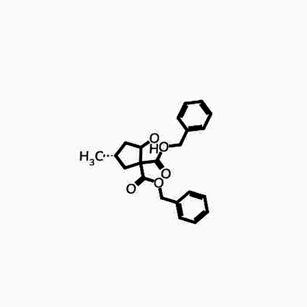 C[C@@H]1CC(O)C(C(=O)OCc2ccccc2)(C(=O)OCc2ccccc2)C1